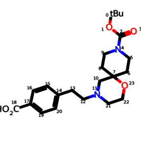 CC(C)(C)OC(=O)N1CCC2(CC1)CN(CCc1ccc(C(=O)O)cc1)CCO2